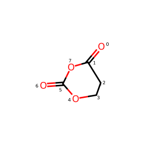 O=C1[CH]COC(=O)O1